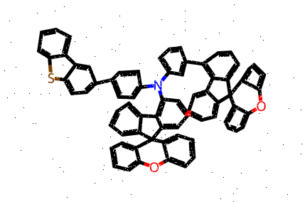 c1cc(-c2cccc3c2-c2ccccc2C32c3ccccc3Oc3ccccc32)cc(N(c2ccc(-c3ccc4sc5ccccc5c4c3)cc2)c2cccc3c2-c2ccccc2C32c3ccccc3Oc3ccccc32)c1